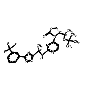 C[C@H](Nc1nccc(N2C(=O)OC[C@@H]2[C@@H](C)OC(C)(C)C)n1)c1nc(-c2cccc(C(F)(F)F)c2)no1